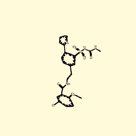 CNC(=O)NS(=O)(=O)c1cc(CCNC(=O)c2cc(Cl)ccc2OC)ccc1-c1cccs1